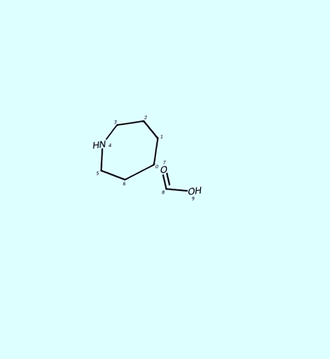 C1CCCNCC1.O=CO